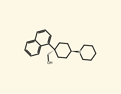 OC[C@]1(c2cccc3ccccc32)CC[C@@H](N2CCCCC2)CC1